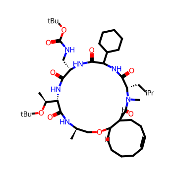 CC(C)C[C@H]1C(=O)NC(C2CCCCC2)C(=O)N[C@@H](CNC(=O)OC(C)(C)C)C(=O)N[C@@H]([C@H](C)OC(C)(C)C)C(=O)N[C@H](C)CO[C@@H]2CCCC/C=C\CC[C@H]2C(=O)N1C